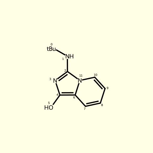 CC(C)(C)Nc1nc(O)c2ccccn12